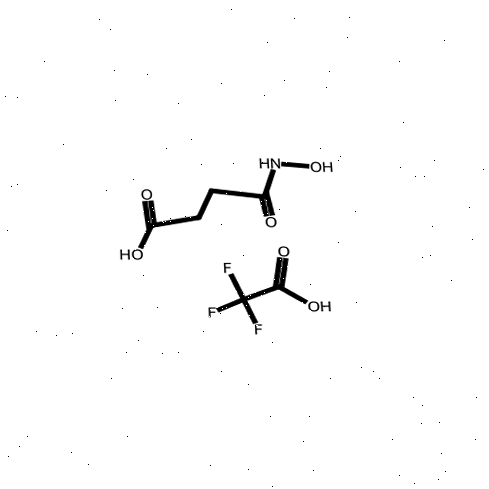 O=C(O)C(F)(F)F.O=C(O)CCC(=O)NO